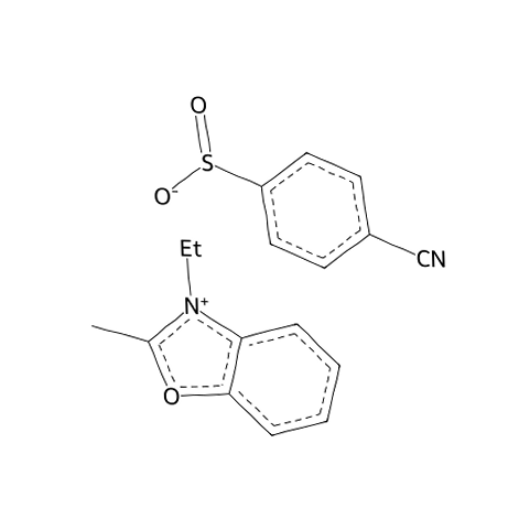 CC[n+]1c(C)oc2ccccc21.N#Cc1ccc(S(=O)[O-])cc1